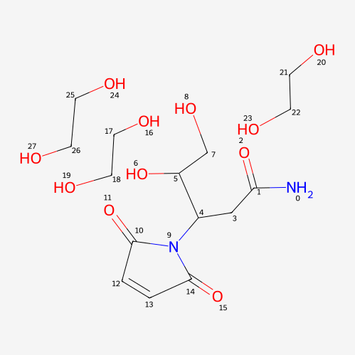 NC(=O)CC(C(O)CO)N1C(=O)C=CC1=O.OCCO.OCCO.OCCO